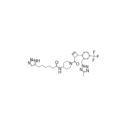 Cc1nnn(Cc2cc(C(F)(F)F)ccc2C2C#CC2C(=O)N2CCC(NC(=O)CCCCCc3cnn[nH]3)CC2)n1